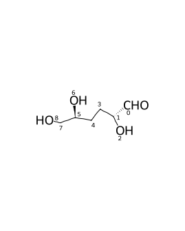 O=C[C@H](O)CC[C@H](O)CO